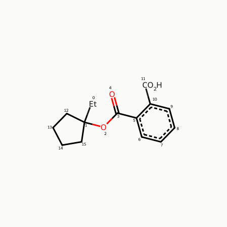 CCC1(OC(=O)c2ccccc2C(=O)O)CCCC1